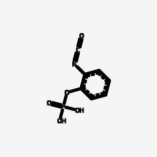 O=C=Nc1ccccc1OP(=O)(O)O